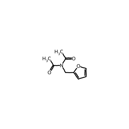 CC(=O)N(Cc1ccco1)C(C)=O